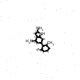 Cc1cccc(F)c1-c1cc(N)c2cc(N)[nH]c2c1